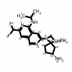 CC(C)Nc1nc(C(F)F)cc2cnc(N3C[Si@H](C)C34CC[C@@H](N)C4)cc12